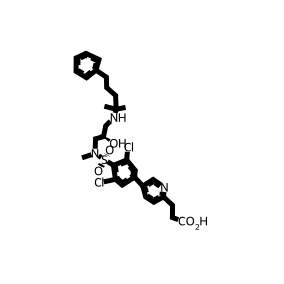 CN(C[C@H](O)CNC(C)(C)CCCc1ccccc1)S(=O)(=O)c1c(Cl)cc(-c2ccc(CCC(=O)O)nc2)cc1Cl